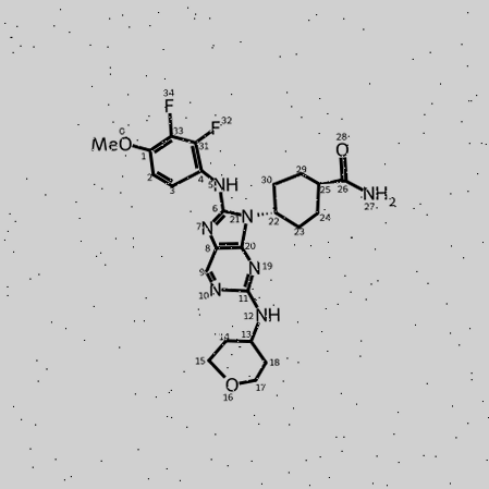 COc1ccc(Nc2nc3cnc(NC4CCOCC4)nc3n2[C@H]2CC[C@H](C(N)=O)CC2)c(F)c1F